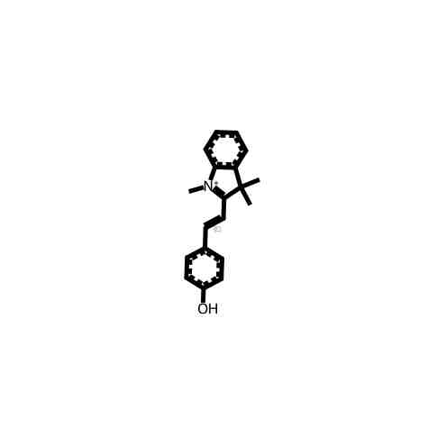 C[N+]1=C(/C=C/c2ccc(O)cc2)C(C)(C)c2ccccc21